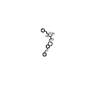 CC(C)CC(NC(=O)C=Cc1ccccc1)C(=O)CN1CCCc2cc(OCc3ccccc3)ccc2C1